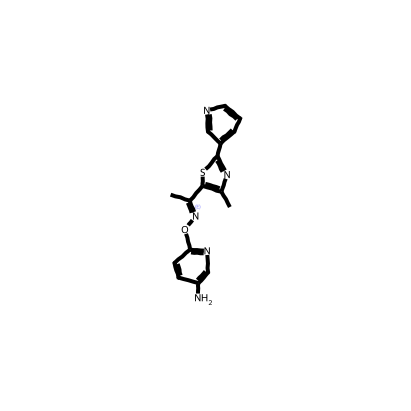 C/C(=N\Oc1ccc(N)cn1)c1sc(-c2cccnc2)nc1C